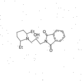 CCC1CCCC(CC)N1C[C@H](O)CN1C(=O)c2ccccc2C1=O